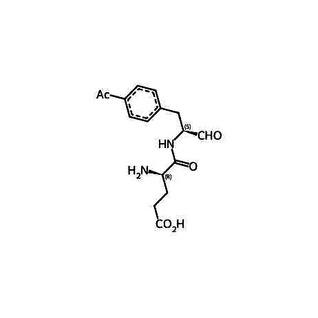 CC(=O)c1ccc(C[C@@H](C=O)NC(=O)[C@H](N)CCC(=O)O)cc1